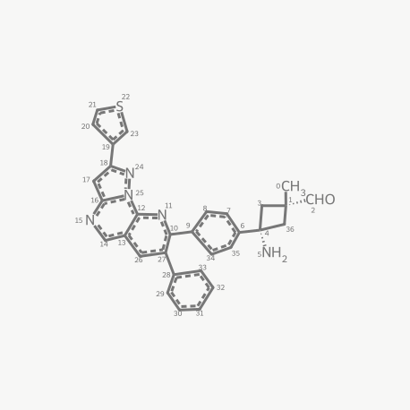 C[C@]1(C=O)C[C@](N)(c2ccc(-c3nc4c(cnc5cc(-c6ccsc6)nn54)cc3-c3ccccc3)cc2)C1